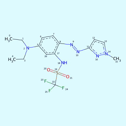 CCN(CC)c1ccc(N=Nc2ccn(C)n2)c(NS(=O)(=O)C(F)(F)F)c1